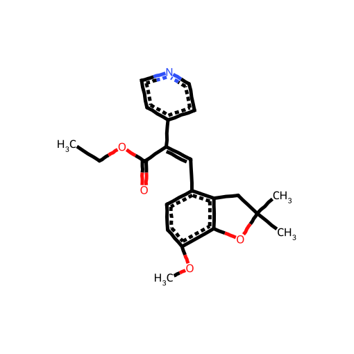 CCOC(=O)/C(=C\c1ccc(OC)c2c1CC(C)(C)O2)c1ccncc1